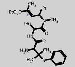 CCOC(=O)/C(C)=C/C(C(C)C)N(C)C(=O)C(NC(=O)C(N)C(C)(C)Sc1ccccc1)C(C)(C)C